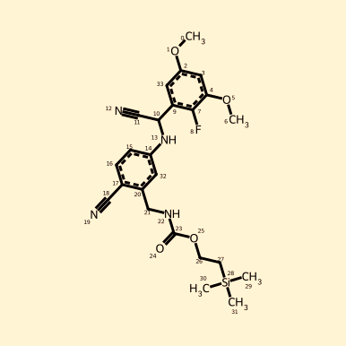 COc1cc(OC)c(F)c(C(C#N)Nc2ccc(C#N)c(CNC(=O)OCC[Si](C)(C)C)c2)c1